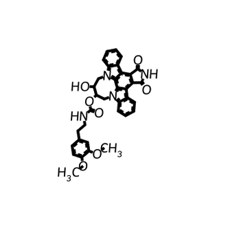 COc1ccc(CCNC(=O)OC2Cn3c4ccccc4c4c5c(c6c7ccccc7n(c6c43)CC2O)C(=O)NC5=O)cc1OC